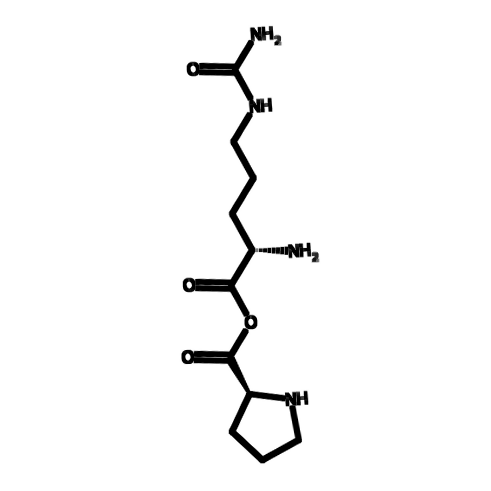 NC(=O)NCCC[C@H](N)C(=O)OC(=O)[C@@H]1CCCN1